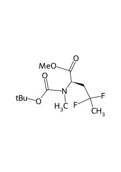 COC(=O)[C@@H](CC(C)(F)F)N(C)C(=O)OC(C)(C)C